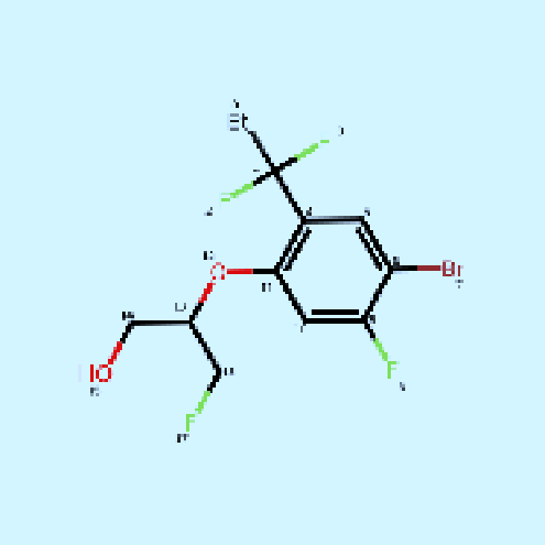 CCC(F)(F)c1cc(Br)c(F)cc1OC(CO)CF